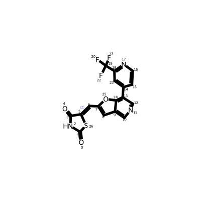 O=C1NC(=O)/C(=C/c2cc3cncc(-c4ccnc(C(F)(F)F)c4)c3o2)S1